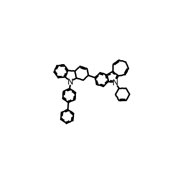 C1=Cc2c(n(C3CC=CCC3)c3ccc(C4C=CC5c6ccccc6N(c6ccc(-c7ccccc7)cc6)C5C4)cc23)C=CC1